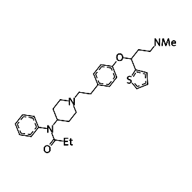 CCC(=O)N(c1ccccc1)C1CCN(CCc2ccc(OC(CCNC)c3cccs3)cc2)CC1